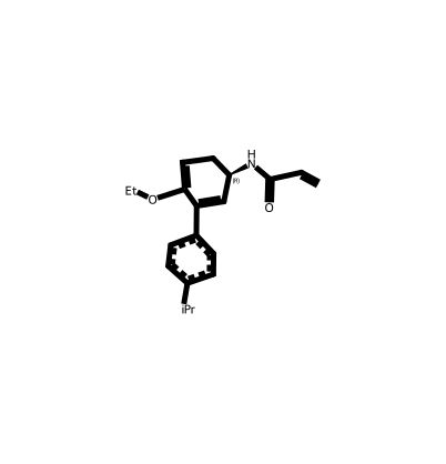 C=CC(=O)N[C@H]1C=C(c2ccc(C(C)C)cc2)C(OCC)=CC1